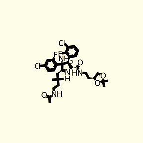 CC(=O)NCCC(C)(C)C[C@@H]1N[C@@H](C(=O)NCC[C@H]2COC(C)(C)O2)[C@H](c2cccc(Cl)c2F)[C@@]1(N)c1ccc(Cl)cc1F